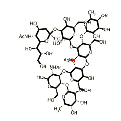 CC(=O)N[C@@H]1[C@@H](O[C@@H]2O[C@H](CO)[C@H](O)[C@H](O[C@@H]3O[C@H](CO)[C@@H](O[C@@H]4O[C@@H](C)[C@@H](O)[C@@H](O)[C@@H]4O)[C@H](O[C@@H]4O[C@H](CO)[C@H](O)[C@H](O[C@]5(C(=O)O)C[C@H](O)[C@@H](NC(C)=O)[C@H]([C@H](O)[C@H](O)CO)O5)[C@H]4O)[C@H]3NC(C)=O)[C@H]2O)[C@H](O[C@@H]2O[C@@H](C)[C@@H](O)[C@@H](O)[C@@H]2O)[C@@H](CO)O[C@H]1O